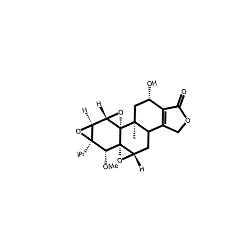 CO[C@@H]1[C@@]2(C(C)C)O[C@H]2[C@@H]2O[C@]23[C@]12O[C@H]2CC1C2=C(C(=O)OC2)[C@@H](O)C[C@@]13C